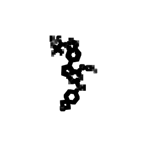 COc1nc(NC2CCC3(CC2)COC3)nn2ccc(-c3ccc4nnn([C@H](C)C(F)(F)F)c4c3)c12